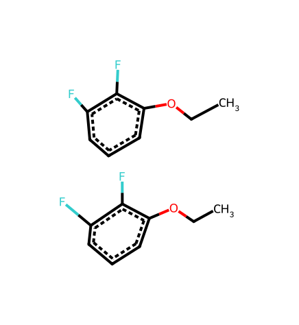 CCOc1cccc(F)c1F.CCOc1cccc(F)c1F